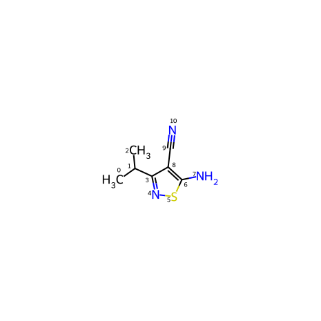 CC(C)c1nsc(N)c1C#N